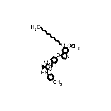 CCCCCCCCCCCOc1cc2c(Oc3ccc(NC(=O)C4(C(=O)Nc5ccc(C)cc5)CC4)cc3)ccnc2cc1OC